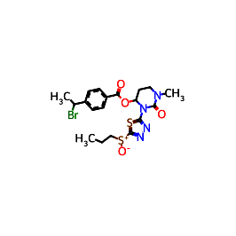 CCC[S+]([O-])c1nnc(N2C(=O)N(C)CCC2OC(=O)c2ccc(C(C)Br)cc2)s1